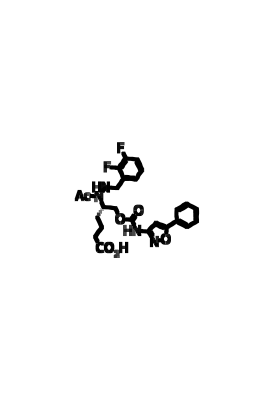 CC(=O)N(NCc1cccc(F)c1F)[C@@H](CCCC(=O)O)COC(=O)Nc1cc(-c2ccccc2)on1